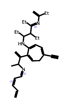 C#CC1=CC=C(NC(CC)C(CC)/C(CC)=N/C(=C)CC)C(C(=C)C(C)/N=C\C=C/C=C)=CC1